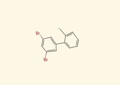 [CH2]c1ccccc1-c1cc(Br)cc(Br)c1